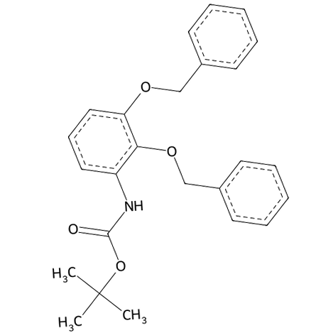 CC(C)(C)OC(=O)Nc1cccc(OCc2ccccc2)c1OCc1ccccc1